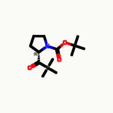 CC(C)(C)OC(=O)N1CCC[C@H]1C(=O)[Si](C)(C)C